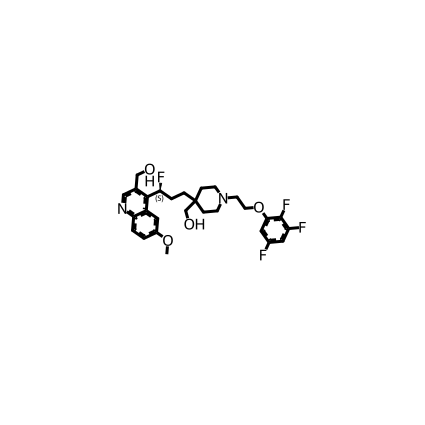 COc1ccc2ncc(CO)c([C@@H](F)CCC3(CO)CCN(CCOc4cc(F)cc(F)c4F)CC3)c2c1